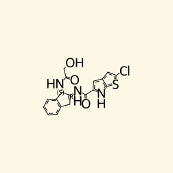 O=C(CO)N[C@H]1c2ccccc2C[C@H]1NC(=O)c1cc2cc(Cl)sc2[nH]1